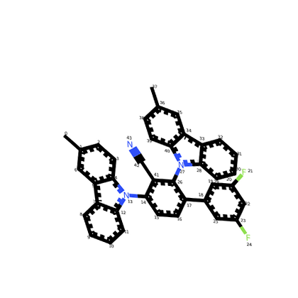 Cc1ccc2c(c1)c1ccccc1n2-c1ccc(-c2cc(F)cc(F)c2)c(-n2c3ccccc3c3cc(C)ccc32)c1C#N